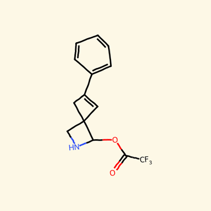 O=C(OC1NCC12C=C(c1ccccc1)C2)C(F)(F)F